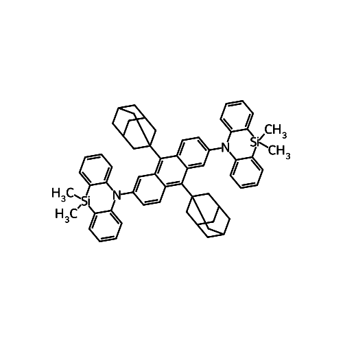 C[Si]1(C)c2ccccc2N(c2ccc3c(C45CC6CC(CC(C6)C4)C5)c4cc(N5c6ccccc6[Si](C)(C)c6ccccc65)ccc4c(C45CC6CC(CC(C6)C4)C5)c3c2)c2ccccc21